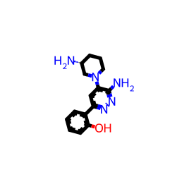 Nc1nnc(-c2ccccc2O)cc1N1CCC[C@@H](N)C1